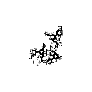 Cc1c(C(N)=O)[nH]c2c(-c3ccncc3)cc(F)cc12.Cn1c(C(N)=O)cc2cc(C#N)cc(-c3ccnc(Cl)c3)c21.N#Cc1cc(-c2ccnc(Cl)c2)c2[nH]c(C(N)=O)cc2c1